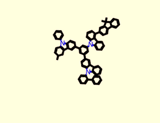 CC1C=Cc2c(c3cc(-c4cc(-c5ccc6c(c5)c5ccccc5n6-c5ccccc5-c5ccccc5)cc(-n5c6ccccc6c6c(-c7ccc8c(c7)C(C)(C)c7ccccc7-8)cccc65)c4)ccc3n2-c2ccccc2)C1